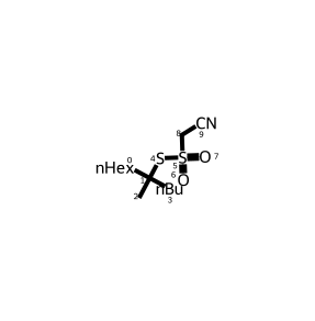 CCCCCCC(C)(CCCC)SS(=O)(=O)CC#N